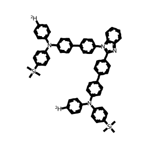 [2H]c1ccc(N(c2ccc(-c3ccc(-c4nc5ccccc5n4-c4ccc(-c5ccc(N(c6ccc([2H])cc6)c6ccc([Si](C)(C)C)cc6)cc5)cc4)cc3)cc2)c2ccc([Si](C)(C)C)cc2)cc1